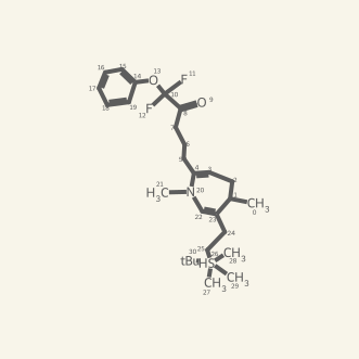 CC1CC=C(CCCC(=O)C(F)(F)Oc2ccccc2)N(C)C=C1CC[SH](C)(C)(C)C(C)(C)C